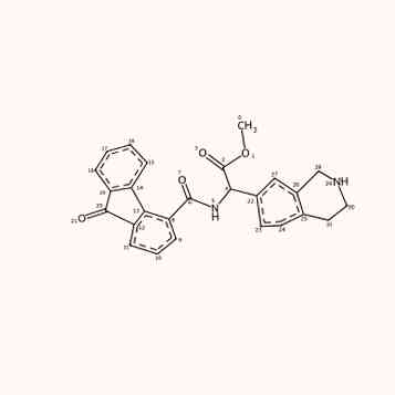 COC(=O)C(NC(=O)c1cccc2c1-c1ccccc1C2=O)c1ccc2c(c1)CNCC2